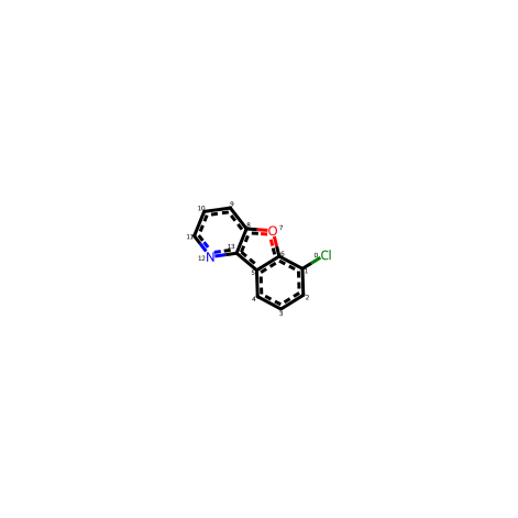 Clc1cccc2c1oc1cccnc12